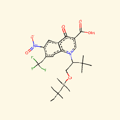 CC(C)(C)C(CO[Si](C)(C)C(C)(C)C)n1cc(C(=O)O)c(=O)c2cc([N+](=O)[O-])c(C(F)(F)F)cc21